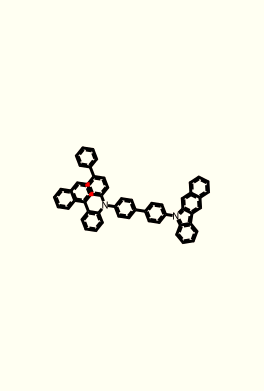 c1ccc(-c2ccc(N(c3ccc(-c4ccc(-n5c6ccccc6c6cc7ccccc7cc65)cc4)cc3)c3ccccc3-c3cccc4ccccc34)cc2)cc1